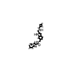 O=C(NCc1ccc2cc(CNCC3CCC3)[nH]c2c1)c1cn2ncccc2n1